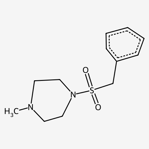 CN1CCN(S(=O)(=O)Cc2ccccc2)CC1